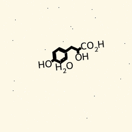 O.O=C(O)C(O)Cc1ccc(O)cc1